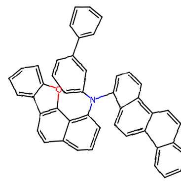 c1ccc(-c2cccc(N(c3cccc4c3ccc3c5ccccc5ccc43)c3cccc4ccc5c6ccccc6oc5c34)c2)cc1